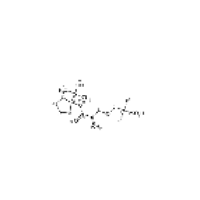 C=C(COCC(F)(F)S(=O)(=O)O)C(=O)OC1(C(C)(O)C(F)(F)F)CCCC1